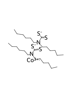 CCCCCCN(CCCCCC)C(=S)[S-].CCCCCCN(CCCCCC)C(=S)[S-].[Co+2]